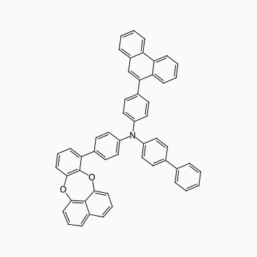 c1ccc(-c2ccc(N(c3ccc(-c4cccc5c4Oc4cccc6cccc(c46)O5)cc3)c3ccc(-c4cc5ccccc5c5ccccc45)cc3)cc2)cc1